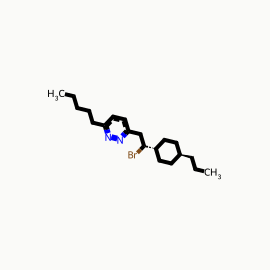 CCCCCc1ccc(CC(Br)[C@H]2CC[C@H](CCC)CC2)nn1